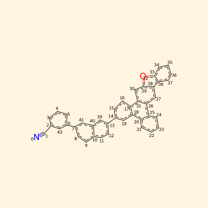 N#Cc1cccc(-c2ccc3ccc(-c4ccc5c(c4)c4ccccc4c4cc6c(cc54)oc4ccccc46)cc3c2)c1